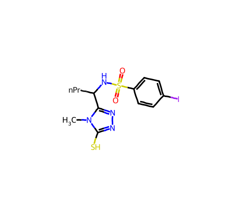 CCCC(NS(=O)(=O)c1ccc(I)cc1)c1nnc(S)n1C